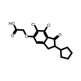 O=C(O)COc1cc2c(c(Cl)c1Cl)C(=O)C(C1CCCC1)C2